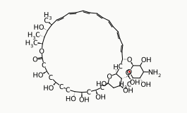 C[C@@H]1[C@H](O)[C@@H](C)/C=C/C=C/C=C/C=C/C=C/C=C/C=C/[C@H](O[C@@H]2O[C@@H](C)[C@@H](O)C(N)C2O)C[C@@H]2O[C@](O)(C[C@@H](O)C[C@@H](O)[C@H](O)CC[C@@H](O)C[C@@H](O)CC(=O)O[C@H]1C)C[C@H](O)[C@H]2C(=O)O